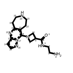 NCCNC(=O)C1CN(c2c3c(nc4ccnn24)CCNCC3)C1